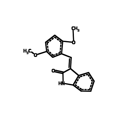 COc1ccc(OC)c(C=C2C(=O)Nc3ccccc32)c1